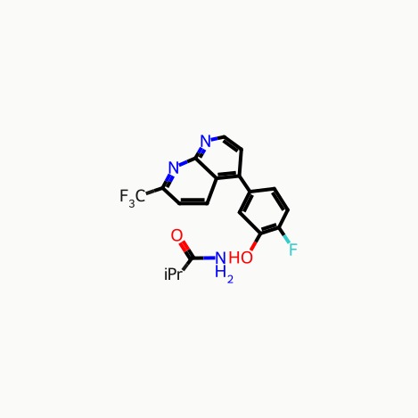 CC(C)C(N)=O.Oc1cc(-c2ccnc3nc(C(F)(F)F)ccc23)ccc1F